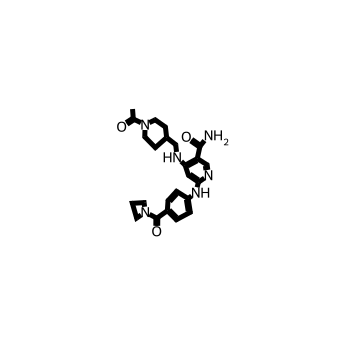 CC(=O)N1CCC(CNc2cc(Nc3ccc(C(=O)N4CCC4)cc3)ncc2C(N)=O)CC1